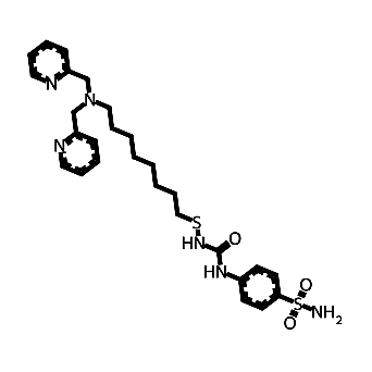 NS(=O)(=O)c1ccc(NC(=O)NSCCCCCCCCN(Cc2ccccn2)Cc2ccccn2)cc1